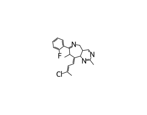 CC1=NC2/C(=C/C=C(\C)Cl)C(C)C(c3ccccc3F)=NCC2C=N1